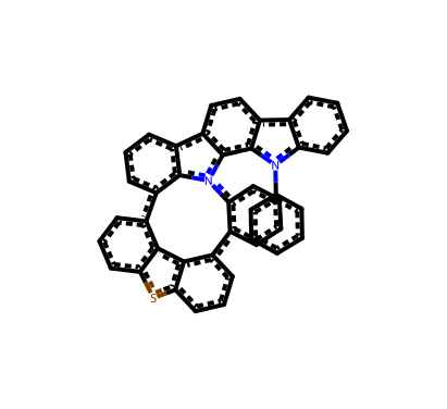 c1ccc(-n2c3ccccc3c3ccc4c5cccc6c7cccc8sc9cccc(c%10ccccc%10n(c65)c4c32)c9c87)cc1